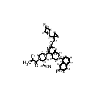 C=C(F)C(=O)N1CCN(c2nc(OCC3(CN4CC(F)C4)CC3)nc3c2CCN(c2cccc4ccc(F)cc24)C3)C[C@@H]1CC#N